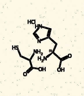 Cl.NC(CS)C(=O)O.N[C@@H](Cc1c[nH]cn1)C(=O)O